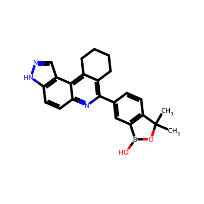 CC1(C)OB(O)c2cc(-c3nc4ccc5[nH]ncc5c4c4c3CCCC4)ccc21